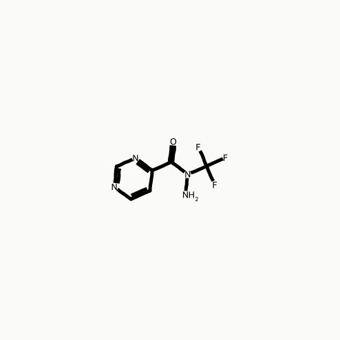 NN(C(=O)c1ccncn1)C(F)(F)F